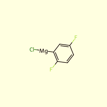 Fc1ccc(F)[c]([Mg][Cl])c1